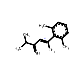 C/C(=C\C(=N)C(C)C)c1c(C)cccc1C